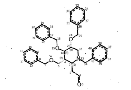 O=CC[C@H]1[C@H](COCc2ccccc2)[C@@H](OCc2ccccc2)[C@H](OCc2ccccc2)CN1Cc1ccccc1